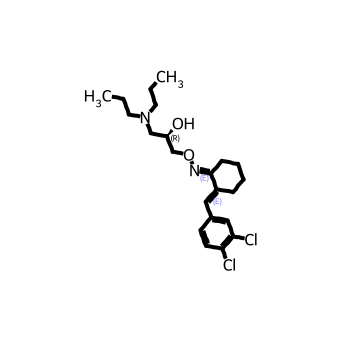 CCCN(CCC)C[C@@H](O)CO/N=C1\CCCC\C1=C/c1ccc(Cl)c(Cl)c1